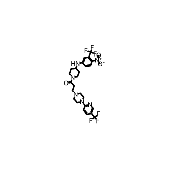 O=C(CCN1CCN(c2ccc(C(F)(F)F)cn2)CC1)N1CCC(Nc2ccc([N+](=O)[O-])c(C(F)(F)F)c2)CC1